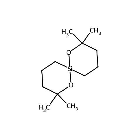 CC1(C)CCC[Si]2(CCCC(C)(C)O2)O1